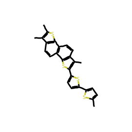 Cc1ccc(-c2ccc(-c3sc4c(ccc5c4ccc4c(C)c(C)sc45)c3C)s2)s1